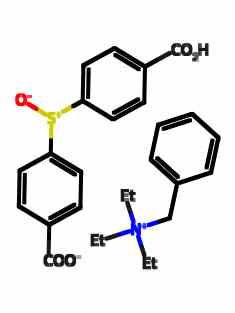 CC[N+](CC)(CC)Cc1ccccc1.O=C([O-])c1ccc([S+]([O-])c2ccc(C(=O)O)cc2)cc1